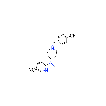 CN(c1ccc(C#N)cn1)C1CCN(Cc2ccc(C(F)(F)F)cc2)CC1